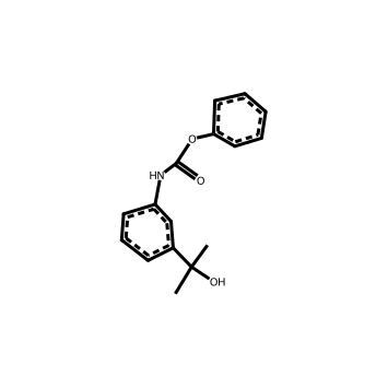 CC(C)(O)c1cccc(NC(=O)Oc2ccccc2)c1